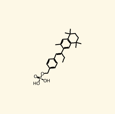 CCC(=Cc1ccc(COP(=O)(O)O)cc1)c1cc2c(cc1C)C(C)(C)CCC2(C)C